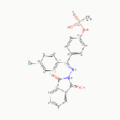 O=C1c2ccccc2C(=O)N1N=C(c1ccc(Cl)cc1)c1ccc(OS(=O)(=O)C(F)(F)F)cc1